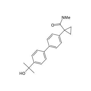 CNC(=O)C1(c2ccc(-c3ccc(C(C)(C)O)cc3)cc2)CC1